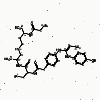 CC(C)CC(NC(=O)Cc1ccc(NC(=C[N+](=O)[O-])Nc2ccc(O)cc2)cc1)C(=O)NC(CNCCC(NC(=O)CC(C)(C)C)C(=O)O)C(=O)O